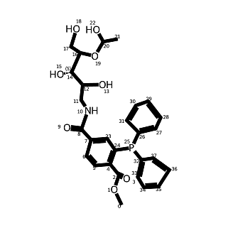 COC(=O)c1ccc(C(=O)NCC(O)[C@H](O)C(CO)OC(C)O)cc1P(c1ccccc1)c1ccccc1